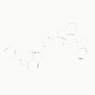 CC(C)(c1ccccc1)c1cccc2oc(-c3ccc(-c4nc5c(C(C)(C)c6ccccc6)cccc5o4)s3)nc12